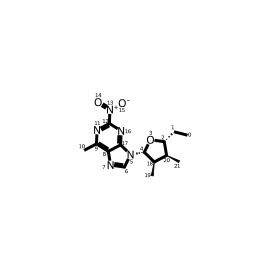 CC[C@H]1O[C@@H](n2cnc3c(C)nc([N+](=O)[O-])nc32)[C@H](C)[C@@H]1C